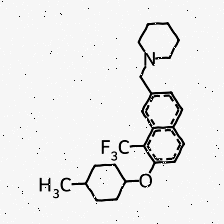 CC1CCC(Oc2ccc3ccc(CN4CCCCC4)cc3c2C(F)(F)F)CC1